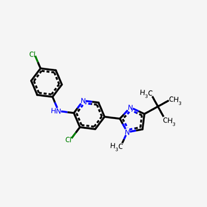 Cn1cc(C(C)(C)C)nc1-c1cnc(Nc2ccc(Cl)cc2)c(Cl)c1